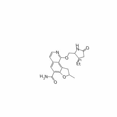 CC[C@@H]1CC(=O)NC1COc1nccc2cc(C(N)=O)c3c(c12)CC(C)O3